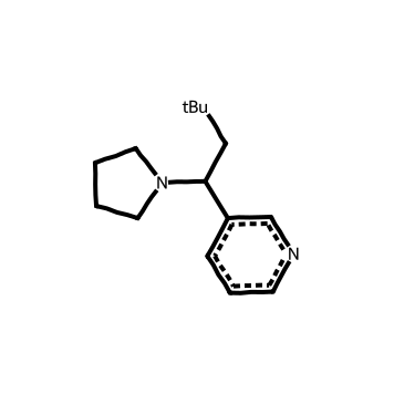 CC(C)(C)CC(c1cccnc1)N1CCCC1